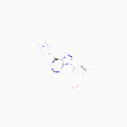 Nc1nc(C2NN=NN2)c2ncn(C3C=CC(CO)C3)c2n1